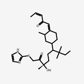 C/C=C\C(=O)/C=C1/CCC(C(CC[C@](C)(O)C(=O)CSc2ncc[nH]2)C(C)(C)CC)CC1C